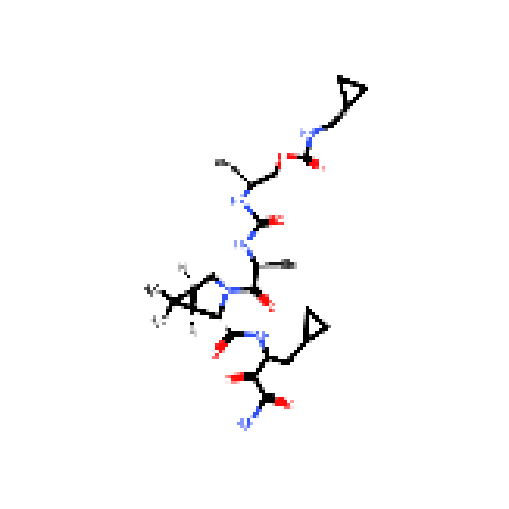 CC(C)(C)[C@H](NC(=O)N[C@H](COC(=O)NCC1CC1)C(C)(C)C)C(=O)N1C[C@H]2[C@@H]([C@H]1C(=O)NC(CC1CC1)C(=O)C(N)=O)C2(C)C